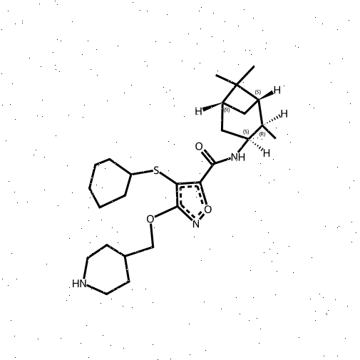 C[C@H]1[C@@H](NC(=O)c2onc(OCC3CCNCC3)c2SC2CCCCC2)C[C@H]2C[C@@H]1C2(C)C